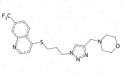 FC(F)(F)c1ccc2c(SCCCn3cc(CN4CCOCC4)nn3)ccnc2c1